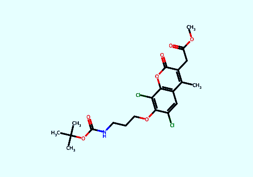 COC(=O)Cc1c(C)c2cc(Cl)c(OCCCNC(=O)OC(C)(C)C)c(Cl)c2oc1=O